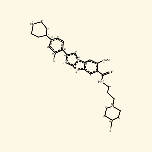 COc1cc2c(cc1C(=O)NCCCN1CCC(F)CC1)sc1nc(-c3ccc(C4CCNCC4)cc3F)cn12